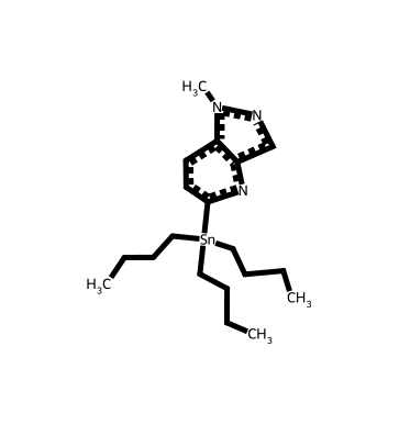 CCC[CH2][Sn]([CH2]CCC)([CH2]CCC)[c]1ccc2c(cnn2C)n1